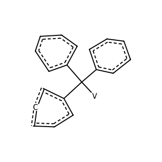 [V][C](c1ccccc1)(c1ccccc1)c1ccccc1